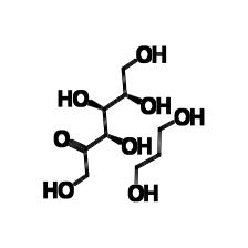 O=C(CO)[C@H](O)[C@@H](O)[C@H](O)CO.OCCCO